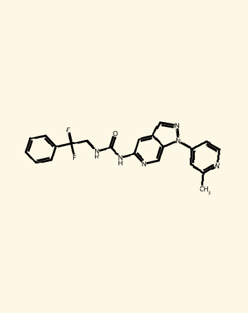 Cc1cc(-n2ncc3cc(NC(=O)NCC(F)(F)c4ccccc4)ncc32)ccn1